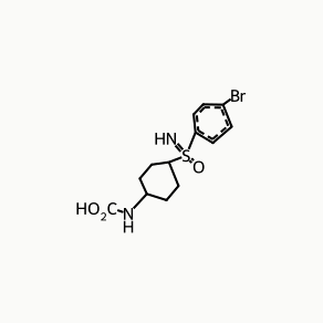 N=S(=O)(c1ccc(Br)cc1)C1CCC(NC(=O)O)CC1